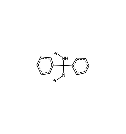 CC(C)NC(NC(C)C)(c1ccccc1)c1ccccc1